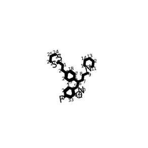 Fc1ccc2c(C(CCCN3CCCCC3)c3ccc(CCC4SCCCS4)cc3)noc2c1